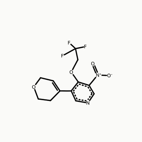 O=[N+]([O-])c1cncc(C2=CCOCC2)c1OCC(F)(F)F